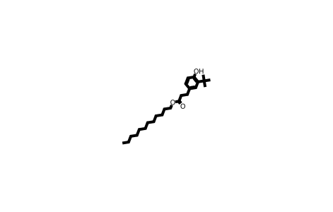 CCCCCCCCCCCCOC(=O)CCc1ccc(O)c(C(C)(C)C)c1